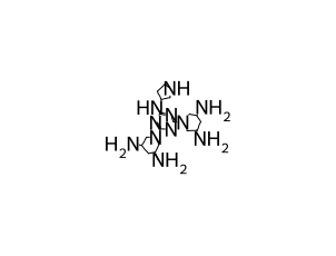 NC1C[C@H](N)CN(c2nc(NC3CCNC3)nc(N3CC(N)C[C@H](N)C3)n2)C1